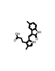 Cc1ccc2c(c1)/C(=C/c1[nH]cc(C)c1CCC(=O)O)C(=O)N2